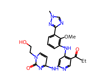 CCC(=O)c1cnc(Nc2ccn(CCO)c(=O)n2)cc1Nc1cccc(-c2ncn(C)n2)c1OC